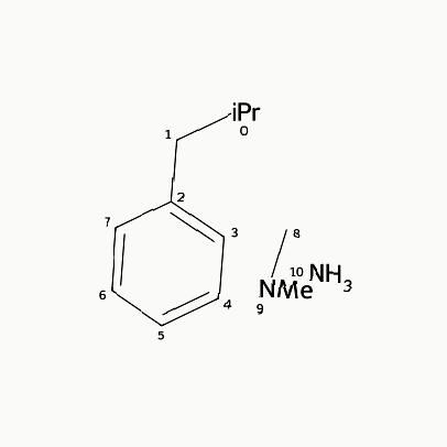 CC(C)Cc1ccccc1.CNC.N